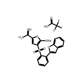 CSc1sc(C(=N)N)cc1S(=O)(=O)c1ccccc1-c1cc2ccccc2o1.O=C(O)C(F)(F)F